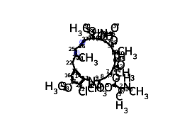 CN[C@@H](C)C(=O)O[C@H]1CC(=O)N(C)c2cc(cc(OC)c2Cl)C/C(C)=C/C=C/[C@@H](OC)[C@@]2(O)CC(OC(=O)N2)[C@@H](C)[C@H]2OC12C